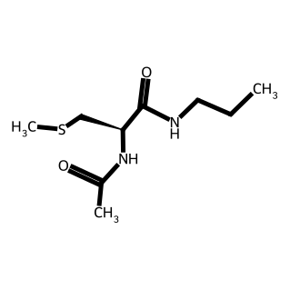 CCCNC(=O)[C@H](CSC)NC(C)=O